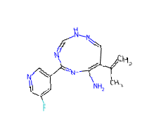 C=C(C)c1cn[nH]cnc(-c2cncc(F)c2)nc1N